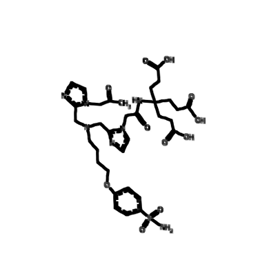 CC(=O)Cn1ccnc1CN(CCCCOc1ccc(S(N)(=O)=O)cc1)Cc1nccn1CC(=O)NC(CCC(=O)O)(CCC(=O)O)CCC(=O)O